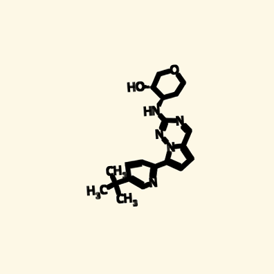 CC(C)(C)c1ccc(-c2ccc3cnc(N[C@@H]4CCOC[C@H]4O)nn23)nc1